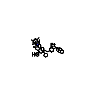 C=C(CC1=C(O)CC(CCc2ccc(CN3CCOCC3)c(CC)c2)(C2CCCC2)OC1=O)/N=c1/nc(C)cc(C)n1C